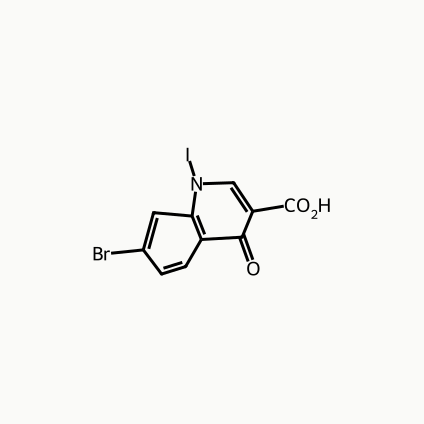 O=C(O)c1cn(I)c2cc(Br)ccc2c1=O